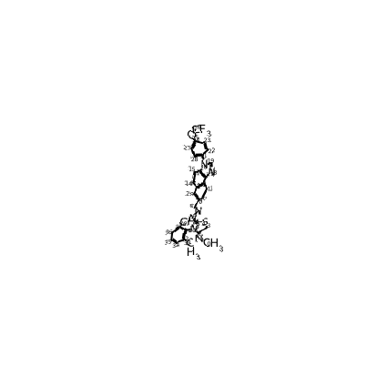 CN=C1CSC(=N/N=C/c2ccc3c(ccc4c3ncn4-c3ccc(OC(F)(F)F)cc3)c2)N1c1c(C)cccc1C